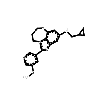 CSc1cncc(-c2nc3cc(NCC4CC4)cc4c3n2CCCO4)c1